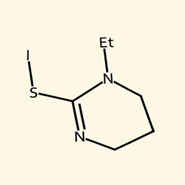 CCN1CCCN=C1SI